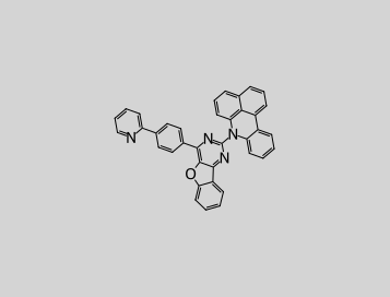 c1ccc(-c2ccc(-c3nc(N4c5ccccc5-c5cccc6cccc4c56)nc4c3oc3ccccc34)cc2)nc1